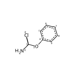 NC(Cl)Oc1ccccc1